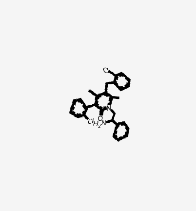 Cc1c(Cc2ccccc2Cl)c(C)n(CC(N)c2ccccc2)c(=O)c1-c1ccccc1Cl